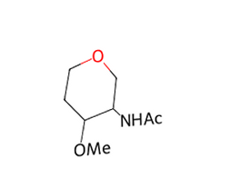 COC1CCOCC1NC(C)=O